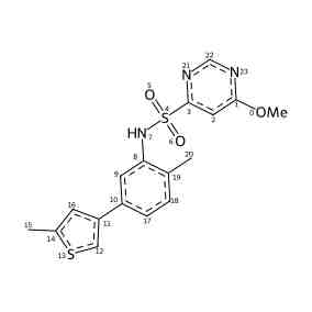 COc1cc(S(=O)(=O)Nc2cc(-c3csc(C)c3)ccc2C)ncn1